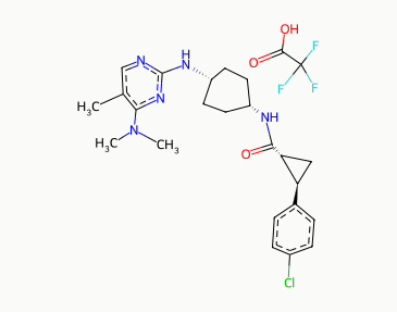 Cc1cnc(N[C@H]2CC[C@@H](NC(=O)[C@@H]3C[C@H]3c3ccc(Cl)cc3)CC2)nc1N(C)C.O=C(O)C(F)(F)F